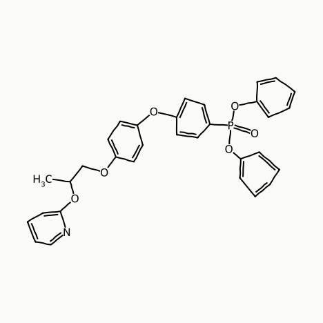 CC(COc1ccc(Oc2ccc(P(=O)(Oc3ccccc3)Oc3ccccc3)cc2)cc1)Oc1ccccn1